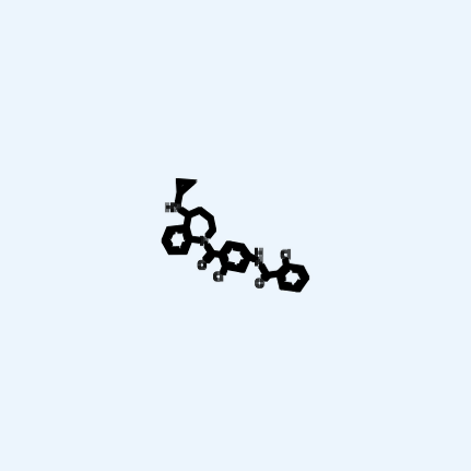 O=C(Nc1ccc(C(=O)N2CCCC(NC3CC3)c3ccccc32)c(Cl)c1)c1ccccc1Cl